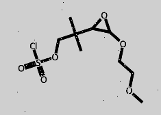 COCCOC1OC1C(C)(C)COS(=O)(=O)Cl